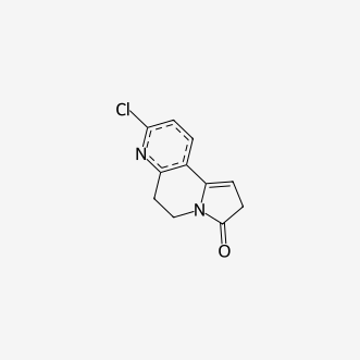 O=C1CC=C2c3ccc(Cl)nc3CCN12